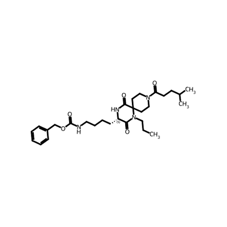 CCCN1C(=O)[C@H](CCCCNC(=O)OCc2ccccc2)NC(=O)C12CCN(C(=O)CCC(C)C)CC2